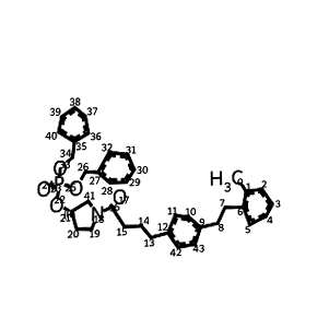 Cc1ccccc1CCc1ccc(CCCC(=O)N2CC[C@@H](OP(=O)(OCc3ccccc3)OCc3ccccc3)C2)cc1